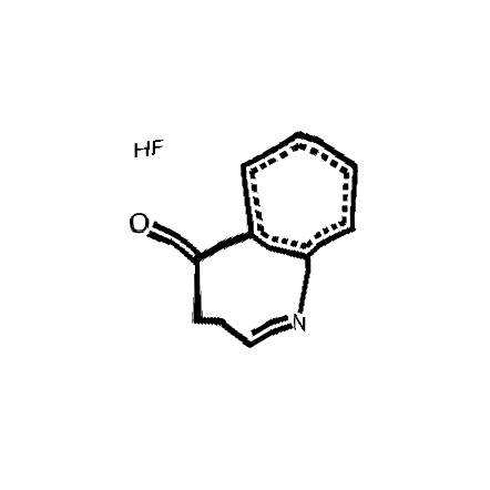 F.O=C1CC=Nc2ccccc21